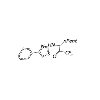 CCCCCC(Nc1nc(-c2ccccc2)cs1)C(=O)C(F)(F)F